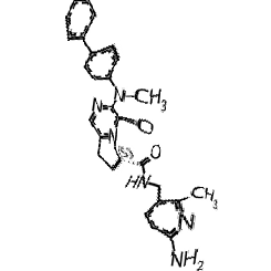 Cc1nc(N)ccc1CNC(=O)[C@@H]1CCc2cnc(N(C)c3ccc(-c4ccccc4)cc3)c(=O)n21